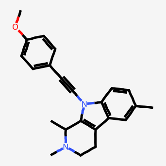 COc1ccc(C#Cn2c3c(c4cc(C)ccc42)CCN(C)C3C)cc1